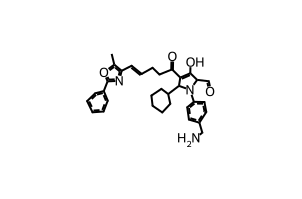 Cc1oc(-c2ccccc2)nc1/C=C/CCC(=O)C1=C(O)C(C=O)N(c2ccc(CN)cc2)C1C1CCCCC1